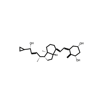 C=C1/C(=C\C=C2/CCC[C@]3(C)[C@@H]([C@H](C)/C=C/[C@@H](O)C4CC4)CC[C@@H]23)C[C@H](O)C[C@@H]1O